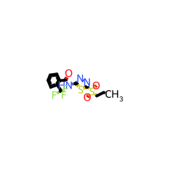 CCCS(=O)(=O)c1nnc(NC(=O)c2ccccc2C(F)(F)F)s1